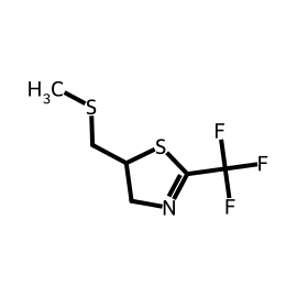 CSCC1CN=C(C(F)(F)F)S1